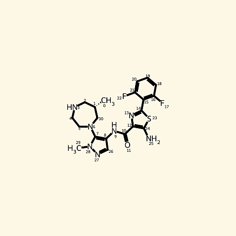 C[C@H]1CNCCN(c2c(NC(=O)c3nc(-c4c(F)cccc4F)sc3N)cnn2C)C1